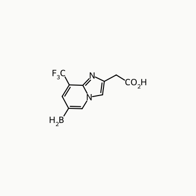 Bc1cc(C(F)(F)F)c2nc(CC(=O)O)cn2c1